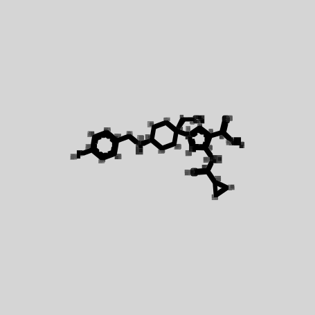 N#CC[C@]1(n2cc(C(N)=O)c(NC(=O)C3CC3)n2)CC[C@H](NCc2ccc(F)cc2)CC1